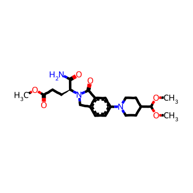 COC(=O)CC[C@@H](C(N)=O)N1Cc2ccc(N3CCC(C(OC)OC)CC3)cc2C1=O